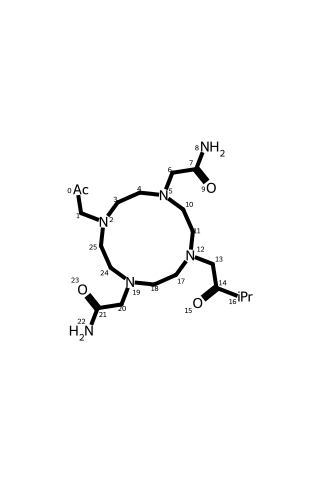 CC(=O)CN1CCN(CC(N)=O)CCN(CC(=O)C(C)C)CCN(CC(N)=O)CC1